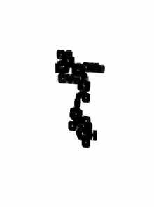 COc1cc(-c2cn(C)c(=O)c3cnccc23)cc(OC)c1CN1CCN(C(=O)CC#Cc2ccc3c(c2)C(=O)N(C2CCC(=O)NC2=O)C3=O)CC1